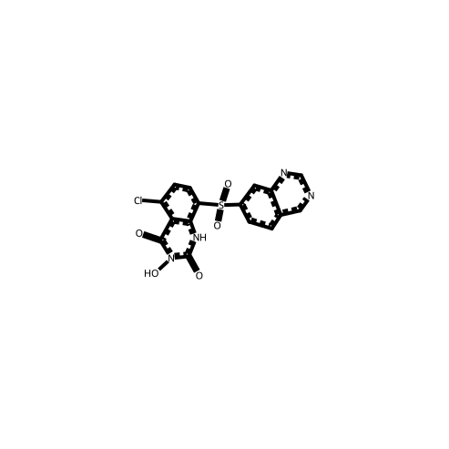 O=c1[nH]c2c(S(=O)(=O)c3ccc4cncnc4c3)ccc(Cl)c2c(=O)n1O